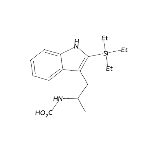 CC[Si](CC)(CC)c1[nH]c2ccccc2c1CC(C)NC(=O)O